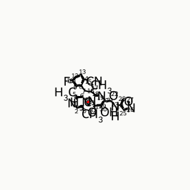 Cc1cnc(C)c([C@H](c2cc(F)ccc2C#N)[C@@H](C)c2nc(C(=O)Nc3cnoc3)c(O)c(=O)n2C)n1